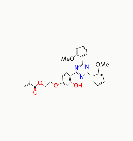 C=C(C)C(=O)OCCOc1ccc(-c2nc(-c3ccccc3OC)nc(-c3ccccc3OC)n2)c(O)c1